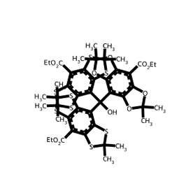 CCOC(=O)c1c2c(c(C(O)(c3c4c(c(C(=O)OCC)c5c3SC(C)(C)S5)SC(C)(C)S4)c3c4c(c(C(=O)OCC)c5c3SC(C)(C)S5)SC(C)(C)S4)c3c1OC(C)(C)O3)OC(C)(C)O2